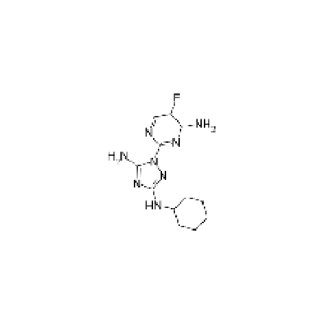 Nc1nc(NC2CCCCC2)nn1C1=NC(N)C(F)C=N1